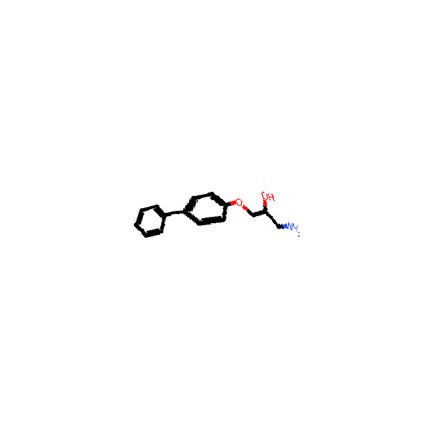 NCC(O)COc1ccc(-c2ccccc2)cc1